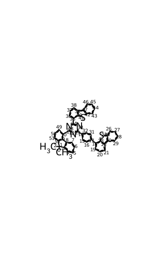 CC1(C)c2ccccc2-c2c(-c3nc(-c4ccc(-c5cccc6c5sc5ccccc56)cc4)nc(-c4cccc5c4sc4ccccc45)n3)cccc21